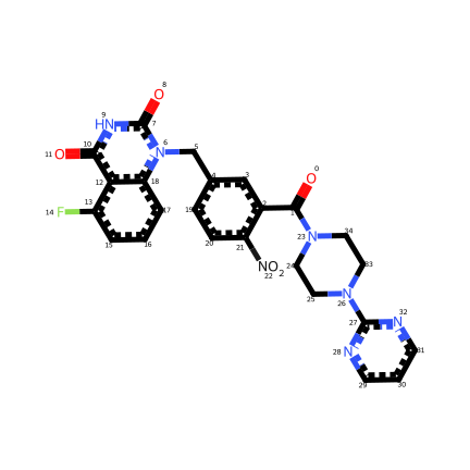 O=C(c1cc(Cn2c(=O)[nH]c(=O)c3c(F)cccc32)ccc1[N+](=O)[O-])N1CCN(c2ncccn2)CC1